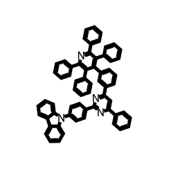 c1ccc(-c2cc(-c3cccc(-c4c(-c5ccccc5)c(-c5ccccc5)nc(-c5ccccc5)c4-c4ccccc4)c3)nc(-c3ccc(-n4c5ccccc5c5ccccc54)cc3)n2)cc1